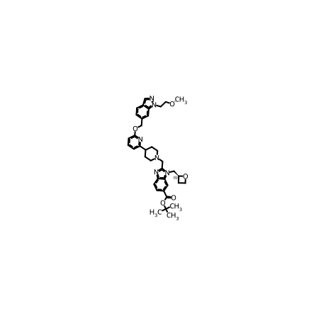 COCCn1ncc2ccc(COc3cccc(C4CCN(Cc5nc6ccc(C(=O)OC(C)(C)C)cc6n5C[C@@H]5CCO5)CC4)n3)cc21